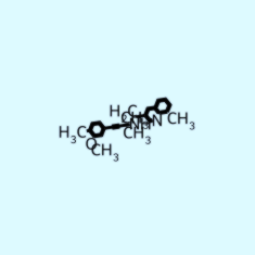 C=C(NC(C)(C)C#Cc1ccc(C)c(OC)c1)c1cnc2c(C)cccc2c1